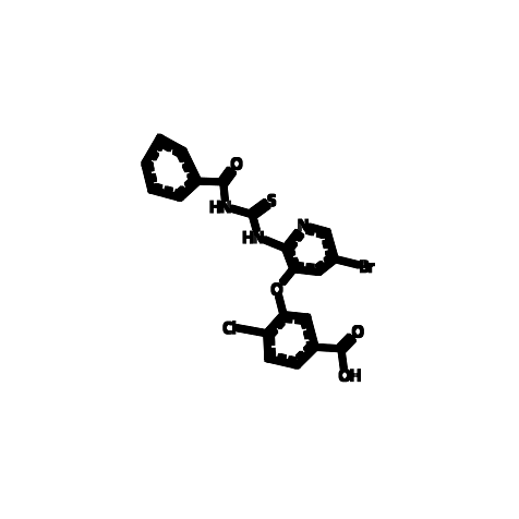 O=C(O)c1ccc(Cl)c(Oc2cc(Br)cnc2NC(=S)NC(=O)c2ccccc2)c1